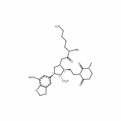 CCCCN(CCCCN)C(=O)CN1C[C@H](c2cc(OC)c3c(c2)OCO3)[C@@H](C(=O)O)[C@@H]1CCN1C(=O)CCN(C)C1=O